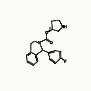 O=C(O[C@H]1CCNC1)N1CCc2ccccc2C1c1ccc(F)cc1